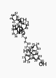 C[Si](C[C@H]1OP(OCCCCCCNC(c2ccccc2)(c2ccccc2)c2ccc(CO)cc2)N2CCC[C@@H]12)(c1ccccc1)c1ccccc1